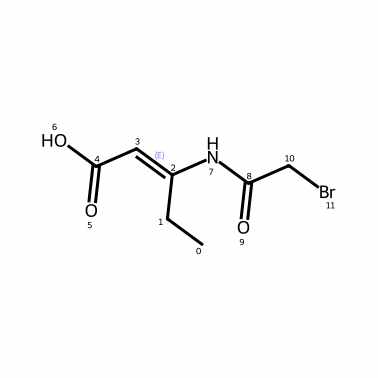 CC/C(=C\C(=O)O)NC(=O)CBr